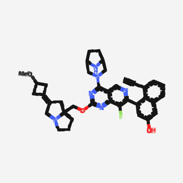 C#Cc1cccc2cc(O)cc(-c3ncc4c(N5CC6CCC(C5)N6)nc(OCC56CCCN5CC(=C5CC(OC)C5)C6)nc4c3F)c12